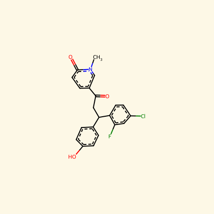 Cn1cc(C(=O)CC(c2ccc(O)cc2)c2ccc(Cl)cc2F)ccc1=O